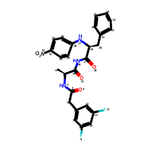 C[C@H](NC(=O)Cc1cc(F)cc(F)c1)C(=O)NC(=O)[C@H](Cc1ccccc1)Nc1ccc([N+](=O)[O-])cc1